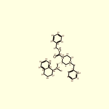 CN(C[C@H]1CN(Cc2ccccn2)CCN1C(=O)OCc1ccccc1)[C@H]1CCCc2cccnc21